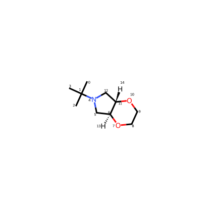 CC(C)(C)N1C[C@@H]2OCCO[C@H]2C1